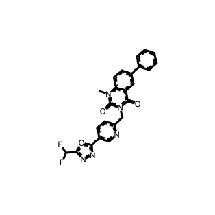 Cn1c(=O)n(Cc2ccc(-c3nnc(C(F)F)o3)cn2)c(=O)c2cc(-c3ccccc3)ccc21